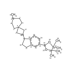 CN1CCC2(CC1)CN(C1CCc3cc(B4OC(C)(C)C(C)(C)O4)ccc31)C2